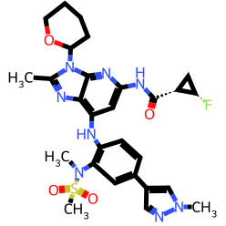 Cc1nc2c(Nc3ccc(-c4cnn(C)c4)cc3N(C)S(C)(=O)=O)cc(NC(=O)[C@@H]3C[C@@H]3F)nc2n1C1CCCCO1